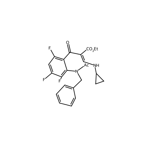 CCOC(=O)C(=CNC1CC1)C(=O)c1c(F)cc(F)c(F)c1N(Cc1ccccc1)C(C)=O